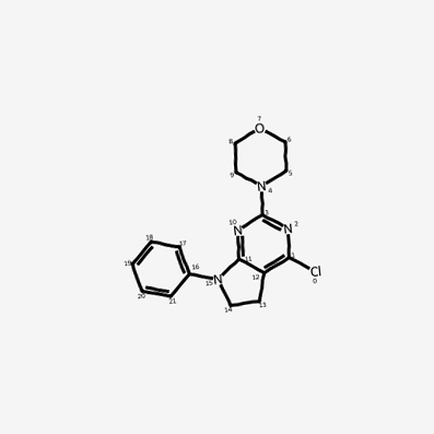 Clc1nc(N2CCOCC2)nc2c1CCN2c1ccccc1